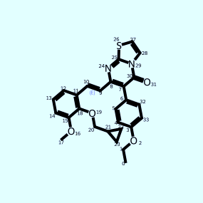 CCOc1ccc(-c2c(/C=C/c3cccc(OC)c3OCC3CC3)nc3sccn3c2=O)cc1